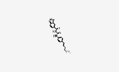 CCCCCc1ccc(NC(=S)NC(=O)c2ccc3nonc3c2)cc1